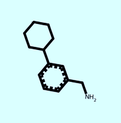 NCc1cccc(C2CC[CH]CC2)c1